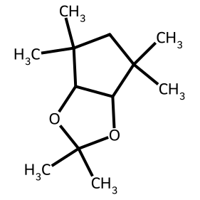 CC1(C)OC2C(O1)C(C)(C)CC2(C)C